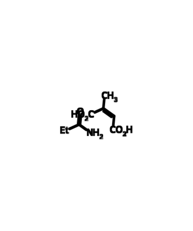 C/C(=C/C(=O)O)C(=O)O.CCC(N)=O